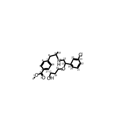 COC(=O)c1ccc(CC(C)NCC(OCCCO)c2cccc(Cl)c2)cc1